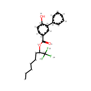 CCCCCCC(OC(=O)c1ccc(O)c(-c2ccccc2)c1)C(F)(F)F